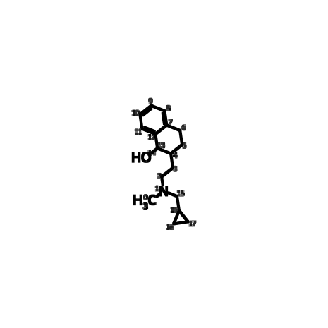 CN(CCC1CCc2ccccc2C1O)CC1CC1